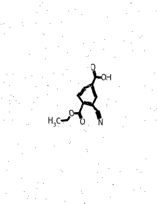 CCOC(=O)c1ccc(C(=O)O)cc1C#N